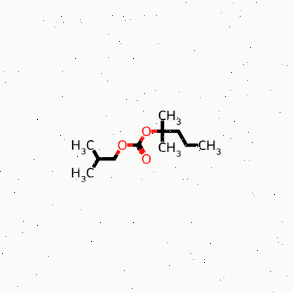 CCCC(C)(C)OC(=O)OCC(C)C